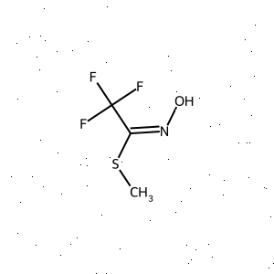 CSC(=NO)C(F)(F)F